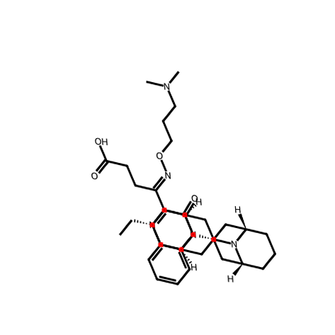 CC[C@@H]1C[C@H]2CC(N3[C@@H]4CCC[C@H]3C[C@@H](n3c(=O)c(/C(CCC(=O)O)=N/OCCCN(C)C)nc5ccccc53)C4)C[C@@H](C1)C2